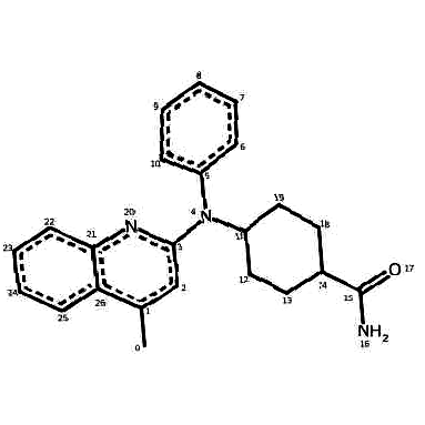 Cc1cc(N(c2ccccc2)C2CCC(C(N)=O)CC2)nc2ccccc12